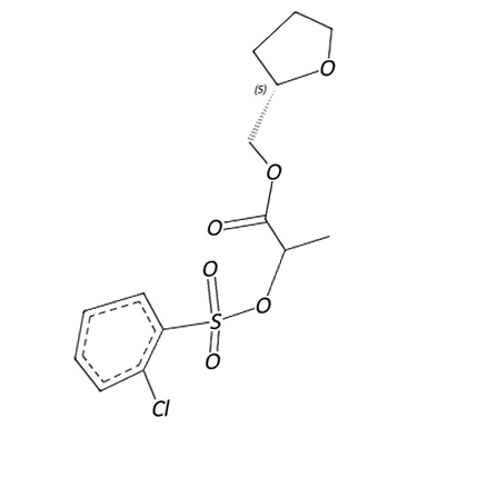 CC(OS(=O)(=O)c1ccccc1Cl)C(=O)OC[C@@H]1CCCO1